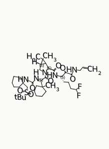 C=CCNC(=O)C(=O)[C@H](CCCC(F)F)NC(=O)[C@@H]1C2[C@H](CN1C(=O)[C@@H](NC(=O)NC1(CS(=O)(=O)C(C)(C)C)CCCCC1)C1(C)CCCCC1)C2(C)C